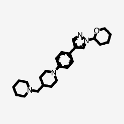 c1cc(N2CCC(CN3CCCCC3)CC2)ccc1-c1cnn(C2CCCCO2)c1